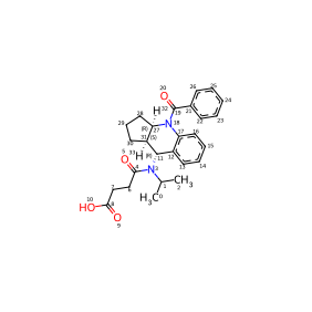 CC(C)N(C(=O)CCC(=O)O)[C@H]1c2ccccc2N(C(=O)c2ccccc2)[C@@H]2CCC[C@@H]21